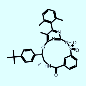 Cc1cccc(C)c1-c1nc2nc(c1C)O[C@H](c1ccc(C(C)(C)C)cc1)[C@@H](C)NC(=O)c1cccc(c1)S(=O)(=O)N2